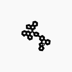 c1ccc(-c2ccc(-c3ccc(N(c4cc5ccccc5c5ccccc45)c4cc5ccccc5c5ccccc45)cc3)cc2-c2cc3ccccc3o2)cc1